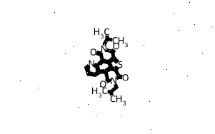 CC(C)CN1C(=O)c2sc3c4c(c5ncccc5c(c24)C1=O)C(=O)N(CC(C)C)C3=O